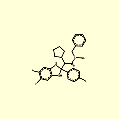 O=NN(Cc1ccccc1)C(=O)C(C1CCCC1)C1(c2ccc(Cl)cc2)Nc2cc(F)c(F)cc2N1